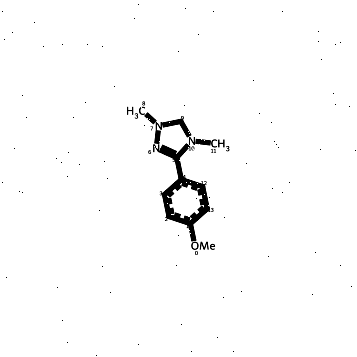 COc1ccc(C2=NN(C)CN2C)cc1